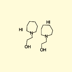 I.I.OCCN1CCCCCC1.OCCN1CCCCCC1